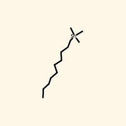 CCCCCCCCC[CH2][Sn]([CH3])([CH3])[CH3]